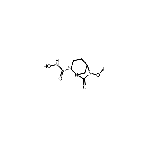 O=C(NO)[C@@H]1CCC2CN1C(=O)N2OI